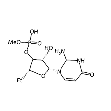 CC[C@H]1O[C@@H](N2C=CC(=O)NC2N)[C@@H](O)C1OP(=O)(O)OC